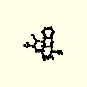 C=C(C)c1cc2ccccc2cc1/C(C)=C\C(C)CF